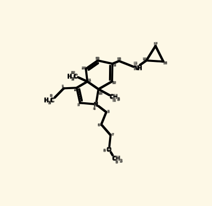 CCC1=CN(CCCOC)C2(C)C=C(CNC3CC3)C=CC12C